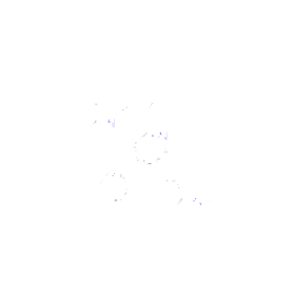 Cc1ccc(-c2c(C=CC(N)=O)c(C)nc(CC(C)C)c2CN(C(=O)O)C(C)(C)C)cc1